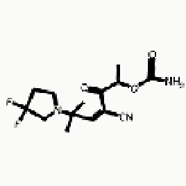 CC(OC(N)=O)C(=O)C(C#N)=CC(C)(C)N1CCC(F)(F)C1